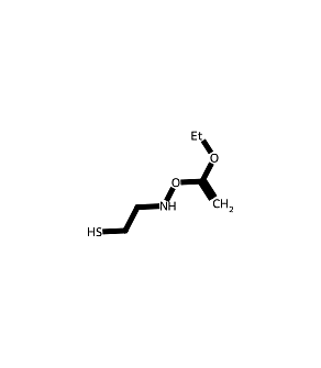 C=C(OCC)ONCCS